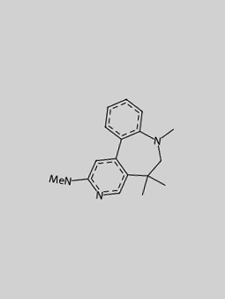 CNc1cc2c(cn1)C(C)(C)CN(C)c1ccccc1-2